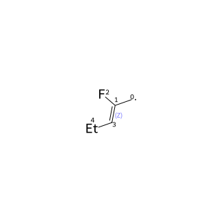 [CH2]/C(F)=C/CC